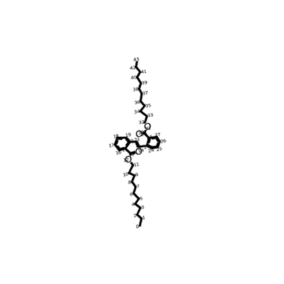 CCCCCCCCCCCCOC(=O)c1ccccc1C=Cc1ccccc1C(=O)OCCCCCCCCCCCC